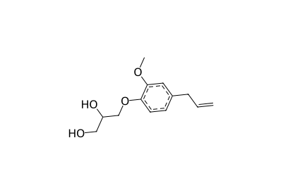 C=CCc1ccc(OCC(O)CO)c(OC)c1